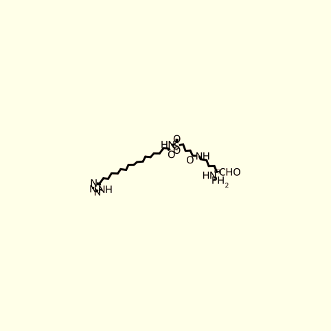 O=C[C@H](CCCCNC(=O)CCCS(=O)(=O)NC(=O)CCCCCCCCCCCCCCCc1nnn[nH]1)NP